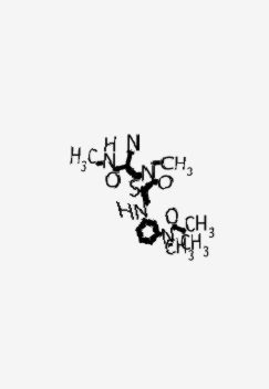 CCNC(=O)C(C#N)=c1sc(=CNc2cccc(N(C)C(=O)C(C)C)c2)c(=O)n1CC